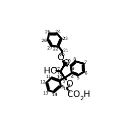 O=C(O)COC(c1ccccc1)(c1ccccc1)C(O)C(=O)OCc1ccccc1